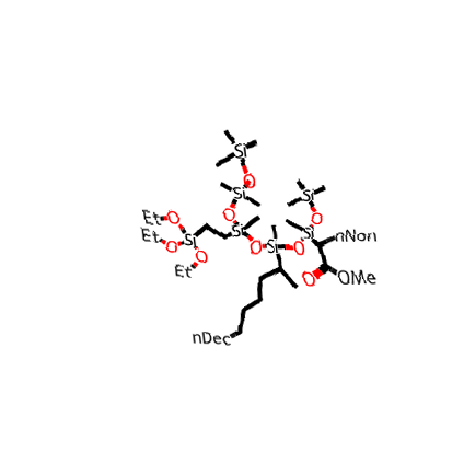 CCCCCCCCCCCCCCC(C)[Si](C)(O[Si](C)(CC[Si](OCC)(OCC)OCC)O[Si](C)(C)O[Si](C)(C)C)O[Si](C)(O[Si](C)(C)C)C(CCCCCCCCC)C(=O)OC